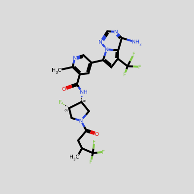 Cc1ncc(-c2cc(C(F)(F)F)c3c(N)ncnn23)cc1C(=O)N[C@@H]1CN(C(=O)CC(C)C(F)(F)F)C[C@@H]1F